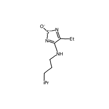 CCc1n[s+]([O-])nc1NCCCC(C)C